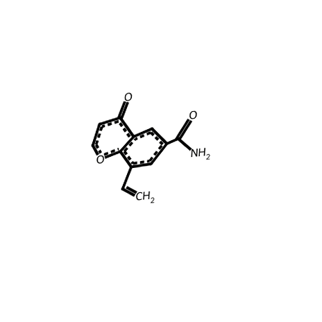 C=Cc1cc(C(N)=O)cc2c(=O)ccoc12